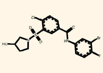 O=C(Nc1ccc(F)c(Br)c1)c1ccc(Cl)c(S(=O)(=O)N2CCC(O)C2)c1